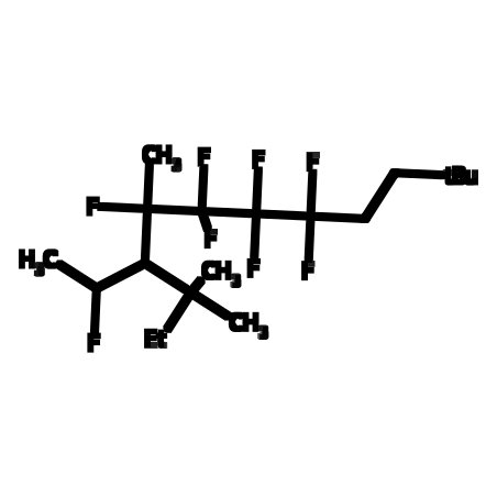 CCC(C)(C)C(C(C)F)C(C)(F)C(F)(F)C(F)(F)C(F)(F)CCC(C)(C)C